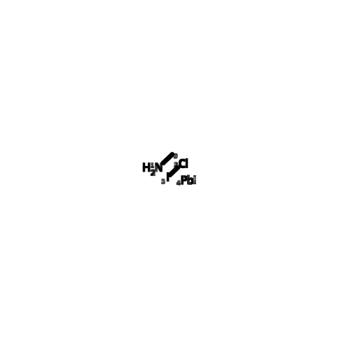 CN.ClI.[Pb]